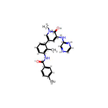 Cc1c(NC(=O)c2ccc(C(C)(C)C)cc2)cccc1-c1cc(Nc2cnccn2)c(=O)n(C)c1